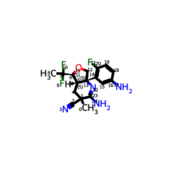 CC1(C#N)C[C@@H]2[C@@H](C(C)(F)F)OC[C@]2(c2cc(N)ccc2F)N=C1N